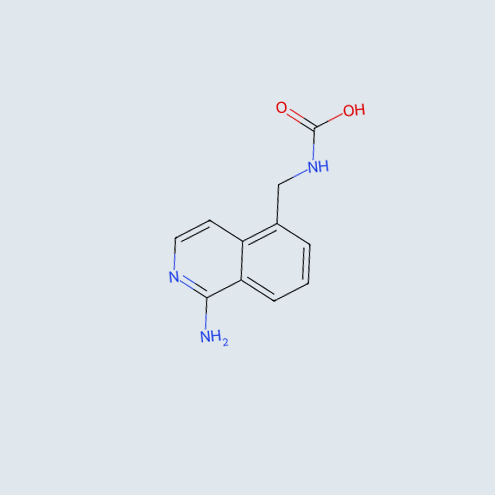 Nc1nccc2c(CNC(=O)O)cccc12